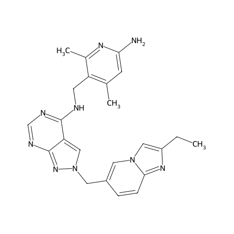 CCc1cn2cc(Cn3cc4c(NCc5c(C)cc(N)nc5C)ncnc4n3)ccc2n1